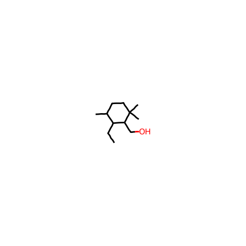 CCC1C(C)CCC(C)(C)C1CO